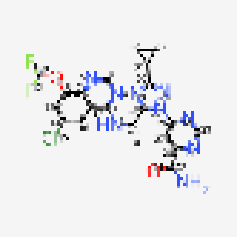 C[C@H](Nc1ncnc2c(OC(F)F)cc(Cl)cc12)c1nc(C2CC2)nn1-c1cc(C(N)=O)ncn1